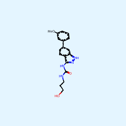 COc1cccc(-c2ccc3c(NC(=O)NCCCO)n[nH]c3c2)c1